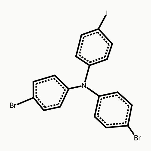 Brc1ccc(N(c2ccc(Br)cc2)c2ccc(I)cc2)cc1